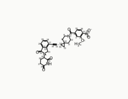 COc1cc(C(=O)N2CCC3(CC2)C[C@@H]3C#Cc2cccc3c2CN(C2CCC(=O)NC2=O)C3=O)ccc1[N+](=O)[O-]